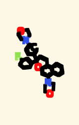 FC1C=C(C2(c3ccc(N4CCOCC4)cc3)C=Cc3c(cc(N4CCOCC4)c4ccccc34)O2)C=CC1